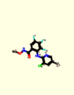 CC(C)(C)ONC(=O)c1cc(F)c(F)c(F)c1Nc1ncc(C(F)(F)F)cc1Cl